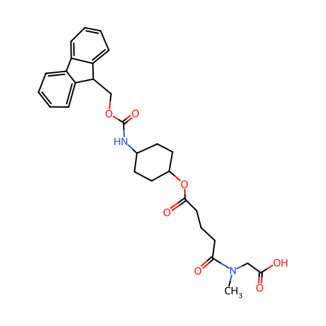 CN(CC(=O)O)C(=O)CCCC(=O)OC1CCC(NC(=O)OCC2c3ccccc3-c3ccccc32)CC1